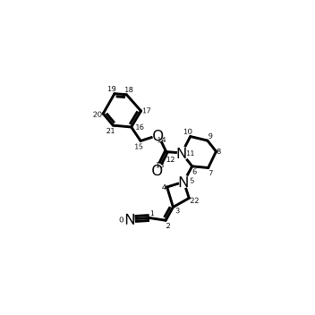 N#CC=C1CN(C2CCCCN2C(=O)OCc2ccccc2)C1